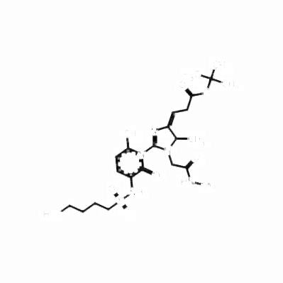 CCCCCS(=O)(=O)Nc1ccc(C)n(C2=NC(=CCC(=O)OC(C)(C)C)C(C)N2CC(=O)NO)c1=O